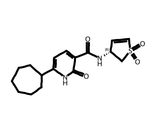 O=C(N[C@@H]1C=CS(=O)(=O)C1)c1ccc(C2CCCCCC2)[nH]c1=O